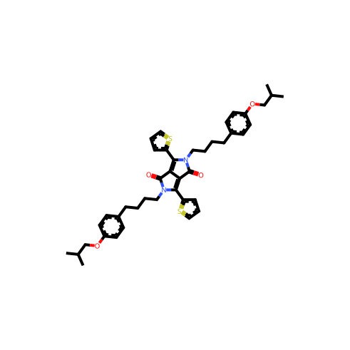 CC(C)COc1ccc(CCCCN2C(=O)C3=C(c4cccs4)N(CCCCc4ccc(OCC(C)C)cc4)C(=O)C3=C2c2cccs2)cc1